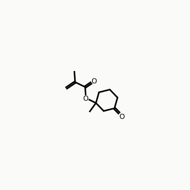 C=C(C)C(=O)OC1(C)CCCC(=O)C1